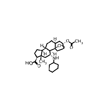 CC(=O)O[C@@H]1CC[C@@]2(C)[C@@H](CC[C@@H]3[C@@H]2[C@H](NC2CCCCC2)C[C@]2(C)[C@@H](C(=O)O)CC[C@@H]32)C1